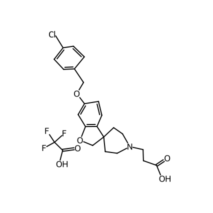 O=C(O)C(F)(F)F.O=C(O)CCN1CCC2(CC1)COc1cc(OCc3ccc(Cl)cc3)ccc12